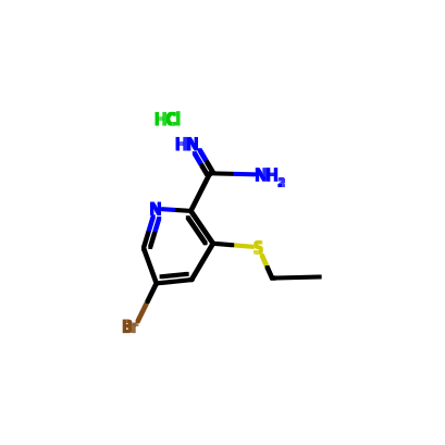 CCSc1cc(Br)cnc1C(=N)N.Cl